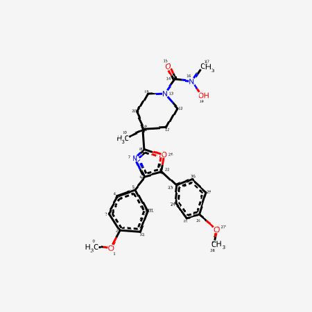 COc1ccc(-c2nc(C3(C)CCN(C(=O)N(C)O)CC3)oc2-c2ccc(OC)cc2)cc1